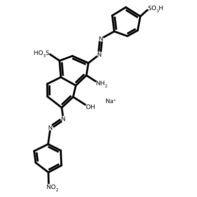 Nc1c(N=Nc2ccc(S(=O)(=O)O)cc2)cc(S(=O)(=O)O)c2ccc(N=Nc3ccc([N+](=O)[O-])cc3)c(O)c12.[Na+]